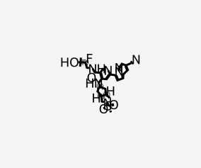 CC(C)(O)[C@H](F)CNC(=O)c1cnc(-c2ccc3cc(C#N)cnn23)cc1N[C@H]1C[C@@H]2CN(S(C)(=O)=O)C[C@@H]2C1